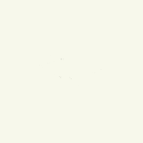 O=C(O)CC(CP(=O)(O)O)C(=O)N1CCN(C(=O)OCCOc2ccccc2)CC1